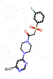 CC(C)COc1cc(N2CCN(C(=O)CS(=O)(=O)c3cccc(F)c3)CC2)ncn1